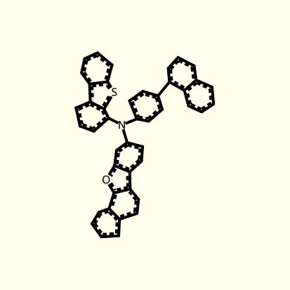 c1ccc2c(-c3ccc(N(c4ccc5c(c4)oc4c6ccccc6ccc54)c4cccc5c4sc4ccccc45)cc3)cccc2c1